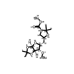 CCCCO[C@@H]1[C@H]2OC(C)(C)O[C@H]2O[C@@H]1C[C@H]1CN(C(=O)OC(C)(C)C)C(C)(C)O1